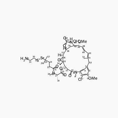 COc1cc2cc(c1Cl)N(C)C(=O)C[C@H](OC(=O)[C@H](C)N(C)C(=O)CCC(C)(C)SSCCN)[C@]1(C)O[C@H]1C[C@@H]1C[C@@](O)(NC(=O)O1)[C@H](OC)/C=C/C=C(\C)C2